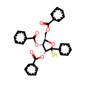 O=C(OC[C@H]1OC(S)(c2ccccc2)[C@H](OC(=O)c2ccccc2)[C@@H]1OC(=O)c1ccccc1)c1ccccc1